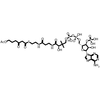 CC(=O)OCCCC(=O)CC(=O)SCCNC(=O)CCNC(=O)[C@H](O)C(C)(C)COP(=O)(O)OP(=O)(O)OC[C@H]1O[C@@H](n2cnc3c(N)ncnc32)[C@H](O)[C@@H]1OP(=O)(O)O